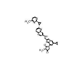 Cc1ccnc([C@H]2C[C@@H]2c2ccc3ncc(NCc4cn5cc(C6CC6)cc(N6CC(=O)N(C)C6=O)c5n4)cc3n2)n1